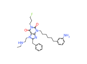 CCNCCn1c(Cc2ccccc2)nc2c1c(=O)n(CCCF)c(=O)n2CCCCCCc1cccc(N)c1